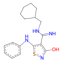 N=C(NCC1CCCCC1)c1c(O)nsc1Nc1ccccc1